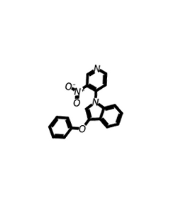 O=[N+]([O-])c1cnccc1-n1cc(Oc2ccccc2)c2ccccc21